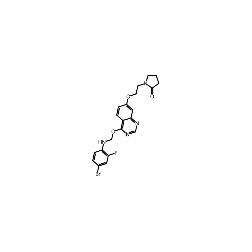 O=C1CCCN1CCOc1ccc2c(OCNc3ccc(Br)cc3F)ncnc2c1